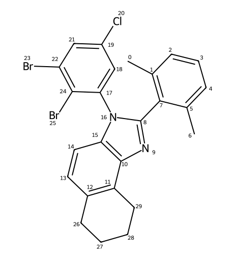 Cc1cccc(C)c1-c1nc2c3c(ccc2n1-c1cc(Cl)cc(Br)c1Br)CCCC3